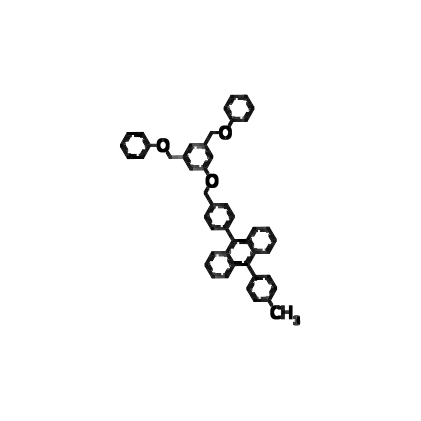 Cc1ccc(-c2c3ccccc3c(-c3ccc(COc4cc(COc5ccccc5)cc(COc5ccccc5)c4)cc3)c3ccccc23)cc1